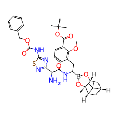 COc1c(C[C@H](NC(=O)C(N)c2nsc(NC(=O)OCc3ccccc3)n2)B2O[C@@H]3C[C@@H]4C[C@@H](C4(C)C)[C@]3(C)O2)cccc1C(=O)OC(C)(C)C